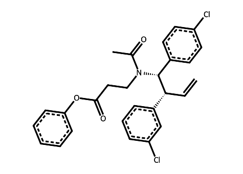 C=C[C@H](c1cccc(Cl)c1)[C@@H](c1ccc(Cl)cc1)N(CCC(=O)Oc1ccccc1)C(C)=O